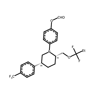 CCC(F)(F)OC[C@@H]1CC[C@H](c2ccc(C(F)(F)F)cc2)CN1c1ccc(OC=O)cc1